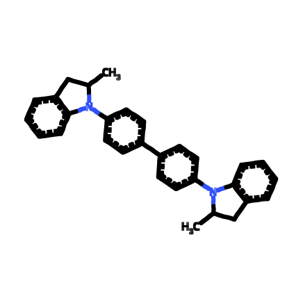 CC1Cc2ccccc2N1c1ccc(-c2ccc(N3c4ccccc4CC3C)cc2)cc1